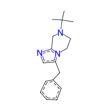 CC(C)(C)N1CCn2c(Cc3ccccc3)cnc2C1